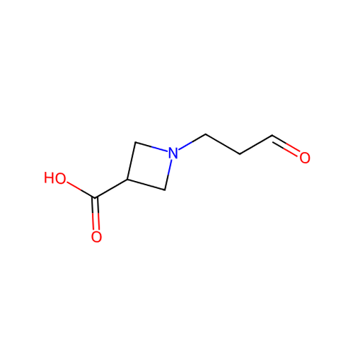 O=CCCN1CC(C(=O)O)C1